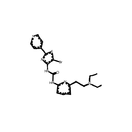 CCN(CC)CCc1cccc(NC(=O)Nc2nc(-c3ccncc3)sc2Br)n1